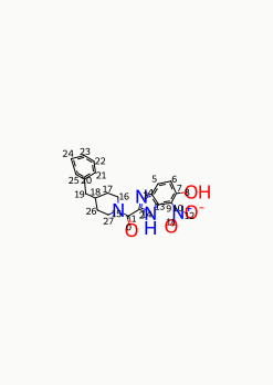 O=C(c1nc2ccc(O)c([N+](=O)[O-])c2[nH]1)N1CCC(Cc2ccccc2)CC1